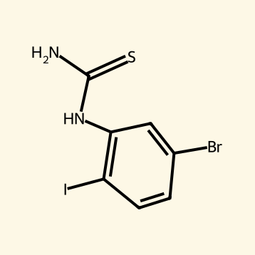 NC(=S)Nc1cc(Br)ccc1I